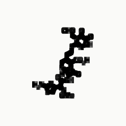 CON=C(C(=O)N[C@@H]1C(=O)N2C(C(=O)O)=C(C=CSc3n[nH]c(=O)c(=O)n3CC=O)CS[C@H]12)c1csc(N)n1